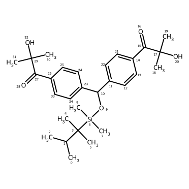 CC(C)C(C)(C)[Si](C)(C)OC(c1ccc(C(=O)C(C)(C)O)cc1)c1ccc(C(=O)C(C)(C)O)cc1